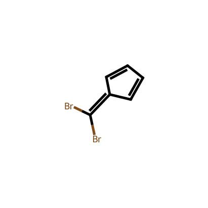 BrC(Br)=C1C=CC=C1